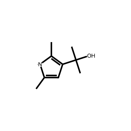 CC1=CC(C(C)(C)O)=C(C)[N]1